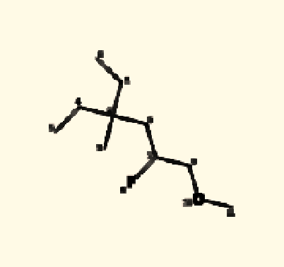 CCC(C)(CC)CC(F)COC